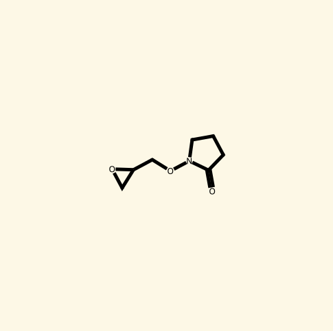 O=C1CCCN1OCC1CO1